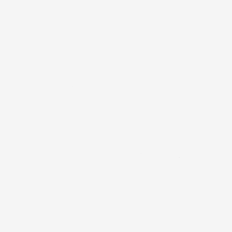 CC1=CC(c2ccc(F)cc2)CC1